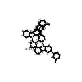 Cc1cccc(-c2ccc3c(c2)c2ccccc2n3-c2ccc(-c3ccc(C#N)cc3C(F)(F)F)cc2-c2ccc(C#N)cc2-n2c3ccccc3c3cc(-c4cccc(C)c4)ccc32)c1